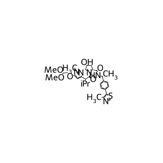 COC(COc1cc([C@@H](C(=O)N2C[C@H](O)C[C@H]2C(=O)N[C@@H](C)c2ccc(-c3scnc3C)cc2)C(C)C)nn1C)OC